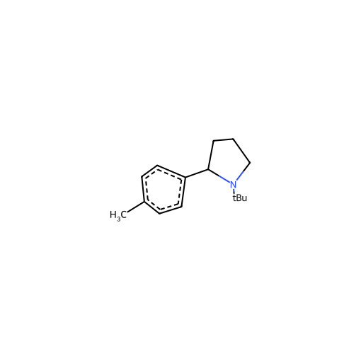 Cc1ccc(C2CCCN2C(C)(C)C)cc1